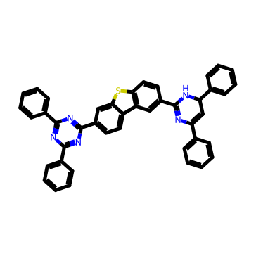 C1=C(c2ccccc2)N=C(c2ccc3sc4cc(-c5nc(-c6ccccc6)nc(-c6ccccc6)n5)ccc4c3c2)NC1c1ccccc1